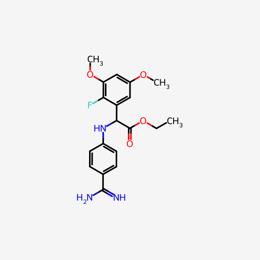 CCOC(=O)C(Nc1ccc(C(=N)N)cc1)c1cc(OC)cc(OC)c1F